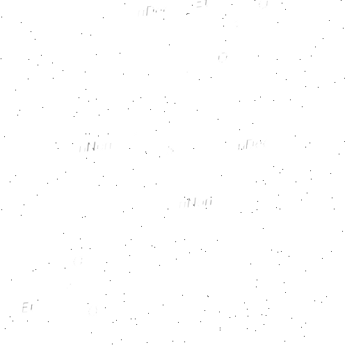 CCCCCCCCCCCCC(CCCCCCCCCCCC)(CC(CCCCCCCCC)SC(CCCCCCCCC)CCOC(=O)CC)OC(=O)CC